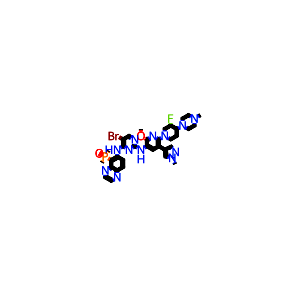 COc1nc(N2CCC(N3CCN(C)CC3)C(F)C2)c(-c2cnn(C)c2)cc1Nc1ncc(Br)c(Nc2ccc3nccnc3c2P(C)(C)=O)n1